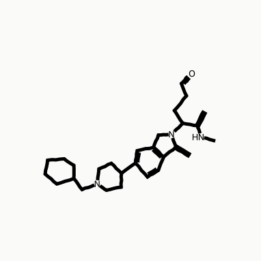 C=C(NC)C(CCC=O)N1Cc2cc(C3CCN(CC4CCCCC4)CC3)ccc2C1=C